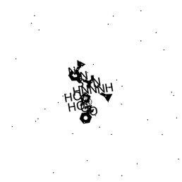 Cc1nc(NCC2CC2)nc(N[C@@H]2C[C@H](CS(=O)(=O)c3ccccc3)[C@@H](O)[C@H]2O)c1-c1nc2c(C3CC3)nccc2s1